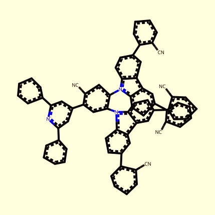 N#Cc1ccccc1-c1ccc2c(c1)c1cc(-c3ccccc3C#N)ccc1n2-c1cc(C#N)c(-c2cc(-c3ccccc3)nc(-c3ccccc3)c2)cc1-n1c2ccc(-c3ccccc3C#N)cc2c2cc(-c3ccccc3C#N)ccc21